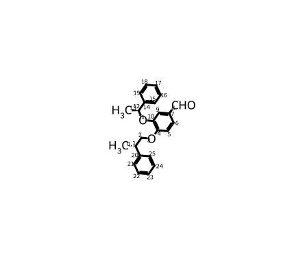 C[C@H](COc1ccc(C=O)cc1O[C@@H](C)c1ccccc1)c1ccccc1